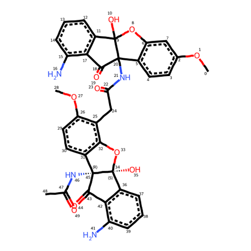 COc1ccc2c(c1)OC1(O)c3cccc(N)c3C(=O)C21NC(=O)Cc1c(OC)ccc2c1O[C@@]1(O)c3cccc(N)c3C(=O)[C@@]21NC(C)=O